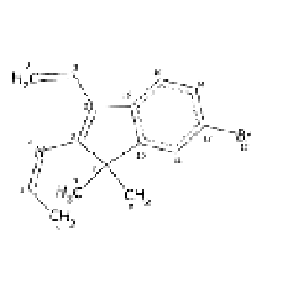 C=CC1=C(/N=C\C)C(C)(C)c2cc(Br)ccc21